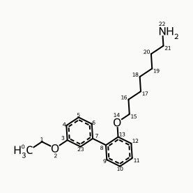 CCOc1cccc(-c2ccccc2OCCCCCCCN)c1